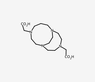 O=C(O)CN1CCCN2CCN(CC1)CCN(CC(=O)O)CC2